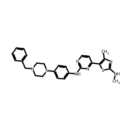 CNc1nc(C)c(-c2ccnc(Nc3ccc(N4CCN(Cc5ccccc5)CC4)cc3)n2)s1